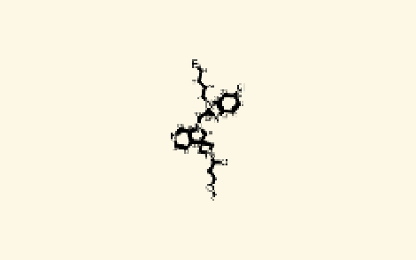 COCCC(=O)N1CC2(C1)CN(Cc1nc3ccc(Cl)cc3n1CCCCF)c1cnccc12